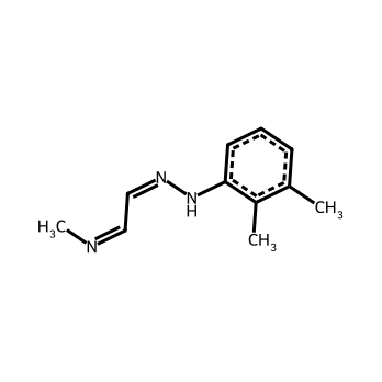 C/N=C\C=N/Nc1cccc(C)c1C